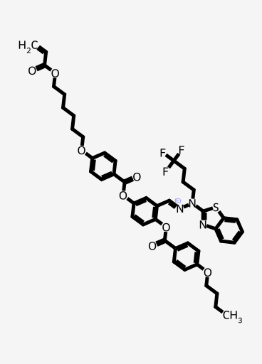 C=CC(=O)OCCCCCCOc1ccc(C(=O)Oc2ccc(OC(=O)c3ccc(OCCCC)cc3)c(/C=N/N(CCCC(F)(F)F)c3nc4ccccc4s3)c2)cc1